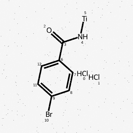 Cl.Cl.O=C([NH][Ti])c1ccc(Br)cc1